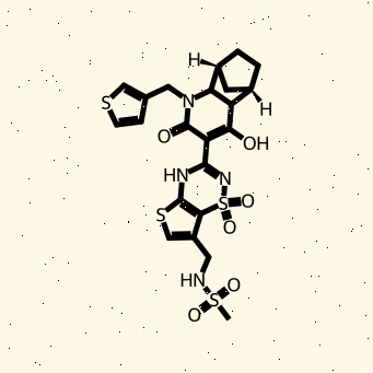 CS(=O)(=O)NCc1csc2c1S(=O)(=O)N=C(C1=C(O)C3C([C@@H]4CC[C@H]3C4)N(Cc3ccsc3)C1=O)N2